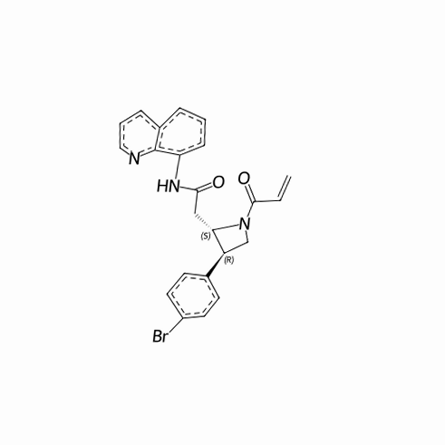 C=CC(=O)N1C[C@@H](c2ccc(Br)cc2)[C@@H]1CC(=O)Nc1cccc2cccnc12